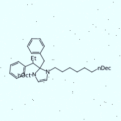 CCCCCCCCCCCCCCCCN1C=CN(CCCCCCCC)C1(Cc1ccccc1)C(CC)c1ccccc1